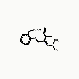 C=CC(C)/C(COc1ccccc1CC(=O)O)=N\N(N)C(C)C